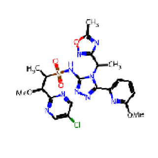 COc1cccc(-c2nnc(NS(=O)(=O)C(C)C(OC)c3ncc(Cl)cn3)n2C(C)c2noc(C)n2)n1